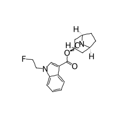 CN1[C@@H]2CC[C@H]1C[C@@H](OC(=O)c1cn(CCF)c3ccccc13)C2